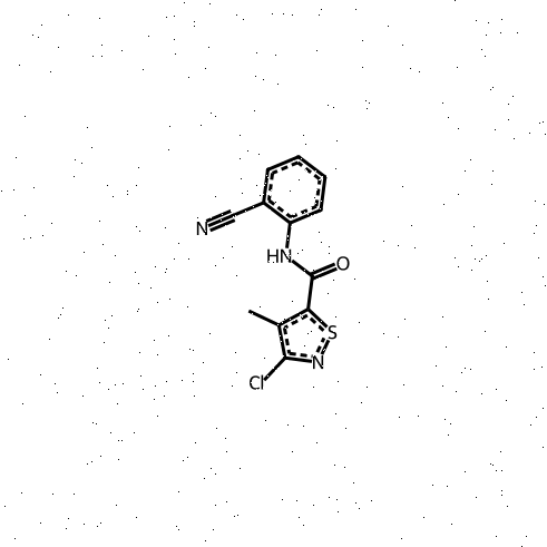 Cc1c(Cl)nsc1C(=O)Nc1ccccc1C#N